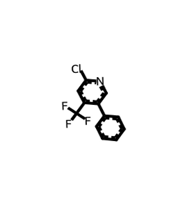 FC(F)(F)c1cc(Cl)ncc1-c1ccccc1